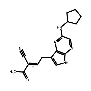 CC(=O)/C(C#N)=C/Cc1c[nH]c2ncc(NC3CCCC3)nc12